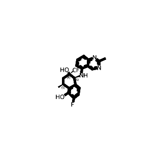 Cc1ncc2c(N[C@H]3c4ccc(F)c(O)c4[C@@H](C)C[C@]3(O)C(F)(F)F)cccc2n1